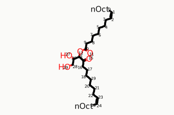 CCCCCCCC/C=C\CCCCCCCC(=O)OC(C(=O)CCCCCCC/C=C\CCCCCCCC)C(O)CO